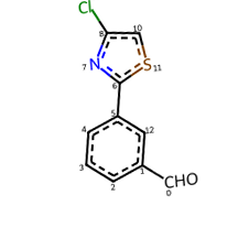 O=Cc1cccc(-c2nc(Cl)cs2)c1